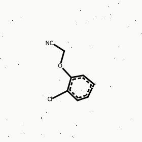 N#CCOc1c[c]ccc1Cl